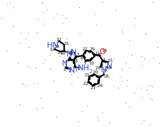 Nc1ncnc2c1c(-c1ccc(C(=O)c3cnn(Cc4ccccc4)c3)cc1)nn2C1CCNCC1